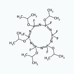 CC(C)OP1(F)=NP(F)(F)=NP(F)(OC(C)C)=NP(F)(OC(C)C)=NP(F)(OC(C)C)=NP(F)(OC(C)C)=N1